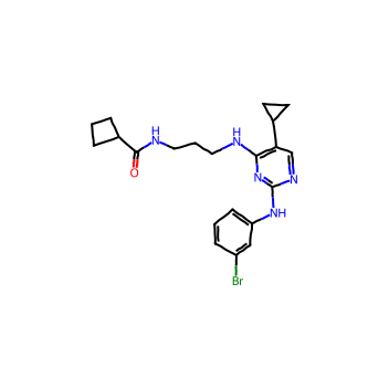 O=C(NCCCNc1nc(Nc2cccc(Br)c2)ncc1C1CC1)C1CCC1